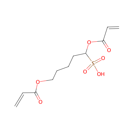 C=CC(=O)OCCCCC(OC(=O)C=C)S(=O)(=O)O